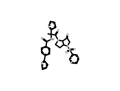 CC(NC(=O)c1ccc(-c2cccs2)cc1)(C(=O)N1CCC2C1C(=O)CN2S(=O)(=O)c1cccnc1)c1cccs1